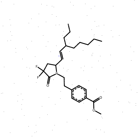 CCCCCC(/C=C/C1CC(F)(F)C(=O)N1CCc1ccc(C(=O)OC)cc1)CCC